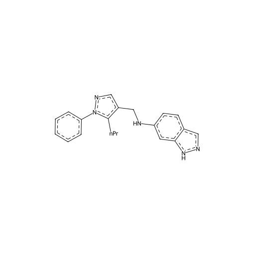 CCCc1c(CNc2ccc3cn[nH]c3c2)cnn1-c1ccccc1